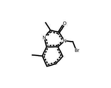 Cc1nc2c(C)cccc2n(CBr)c1=O